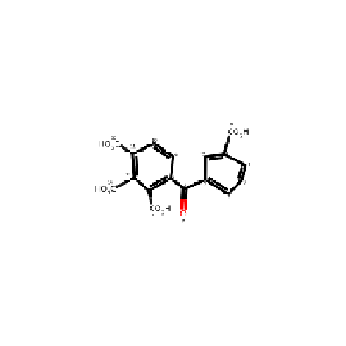 O=C(O)c1cccc(C(=O)c2ccc(C(=O)O)c(C(=O)O)c2C(=O)O)c1